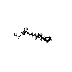 NC(=O)OCCCCCCc1nc(-c2ccccc2)c[nH]1